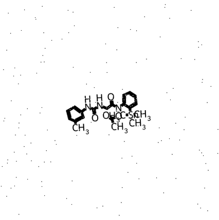 CC(=O)ON(C(=O)CNC(=O)Nc1cccc(C)c1)c1cccc[c]1[Sn]([CH3])([CH3])[CH3]